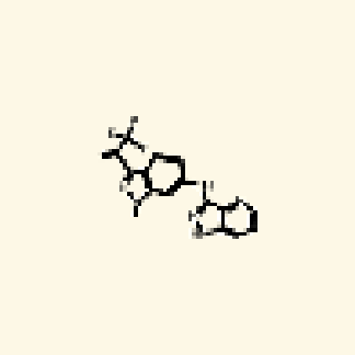 C=C(c1nn(C)c2cc(Nc3n[nH]c4cccnc34)ccc12)C(F)(F)F